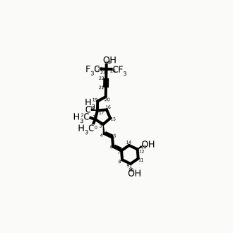 CC1(C)[C@H](/C=C/C=C2C[C@@H](O)C[C@H](O)C2)CC[C@@]1(C)CCC#CC(O)(C(F)(F)F)C(F)(F)F